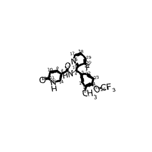 Cc1cc([C@H](NC(=O)c2ccc(=O)[nH]c2)c2ncccc2F)ccc1OC(F)(F)F